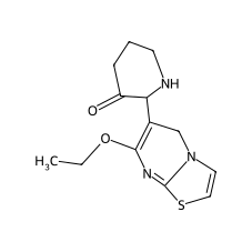 CCOC1=C(C2NCCCC2=O)CN2C=CSC2=N1